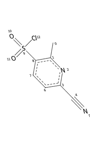 Cc1nc(C#N)ccc1S(=O)(=O)Cl